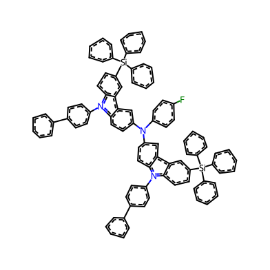 Fc1ccc(N(c2ccc3c(c2)c2cc([Si](c4ccccc4)(c4ccccc4)c4ccccc4)ccc2n3-c2ccc(-c3ccccc3)cc2)c2ccc3c(c2)c2cc([Si](c4ccccc4)(c4ccccc4)c4ccccc4)ccc2n3-c2ccc(-c3ccccc3)cc2)cc1